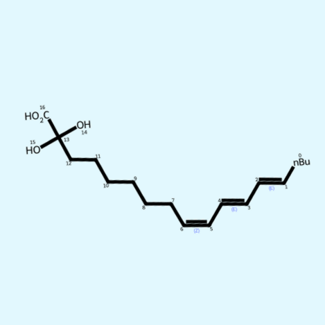 CCCC/C=C/C=C/C=C\CCCCCCC(O)(O)C(=O)O